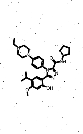 CCN1CCN(c2ccc(-n3c(C(=O)NC4CCCC4)nnc3-c3cc(C(C)C)c(OC)cc3O)cc2)CC1